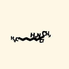 CCCCCCCC(N)(Cl)CC